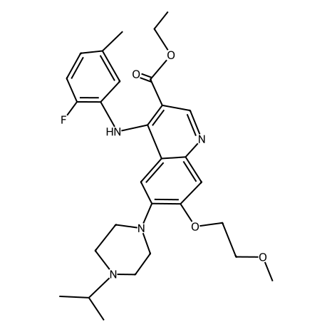 CCOC(=O)c1cnc2cc(OCCOC)c(N3CCN(C(C)C)CC3)cc2c1Nc1cc(C)ccc1F